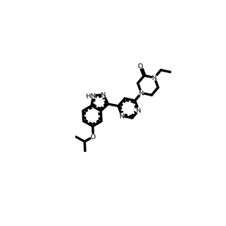 CCN1CCN(c2cc(-c3n[nH]c4ccc(OC(C)C)cc34)ncn2)CC1=O